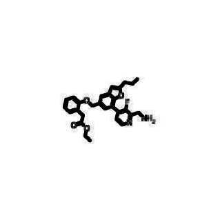 CCCc1cc2cc(COc3ccccc3CC(=O)OCC)cc(-c3ccnc(CN)c3F)c2o1